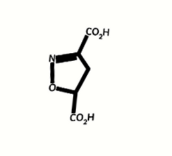 O=C(O)C1=NOC(C(=O)O)C1